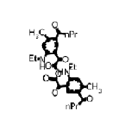 CCCC(=O)c1cc(C(=O)C(=O)OC(=O)C(=O)c2cc(C(=O)CCC)c(C)cc2NCC)c(NCC)cc1C